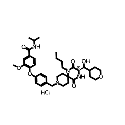 CCCCN1C(=O)[C@@H](C(O)C2CCOCC2)NC(=O)C12CCN(Cc1ccc(Oc3ccc(C(=O)NC(C)C)cc3OC)cc1)CC2.Cl